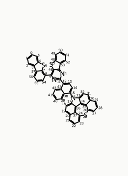 c1ccc2c(c1)sc1c(-c3nc(-c4ccc(-n5c6ccc7cccc8sc9cccc%10ccc5c(c%109)c6c78)c5ccccc45)nc4c3sc3ccccc34)cccc12